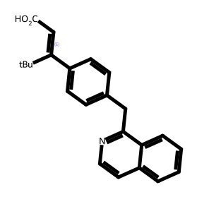 CC(C)(C)/C(=C\C(=O)O)c1ccc(Cc2nccc3ccccc23)cc1